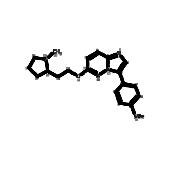 CSc1ccc(-c2cnc3ccc(OCCC4CCCN4C)nn23)cc1